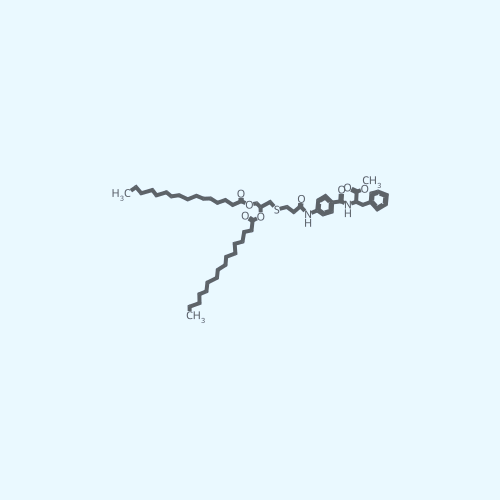 CCCCCCCCCCCCCCCC(=O)OCC(CSCCC(=O)Nc1ccc(C(=O)NC(Cc2ccccc2)C(=O)OC)cc1)OC(=O)CCCCCCCCCCCCCCC